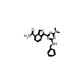 CN(C)c1nc(NCc2ccccc2)nc(-c2scc3c(C(N)=O)cccc23)n1